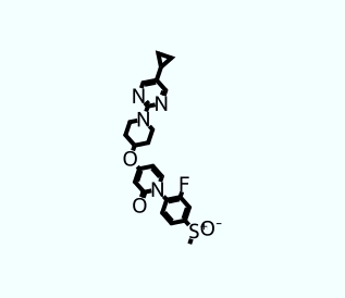 C[S+]([O-])c1ccc(-n2ccc(OC3CCN(c4ncc(C5CC5)cn4)CC3)cc2=O)c(F)c1